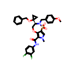 COc1ccc(CN2[C@H](C3(OCc4ccccc4)CC3)COc3c(cn(C)c3C(=O)Nc3ccc(F)c(F)c3)S2(=O)=O)cc1